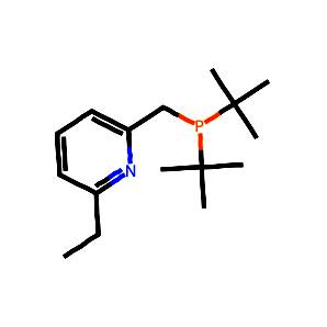 CCc1cccc(CP(C(C)(C)C)C(C)(C)C)n1